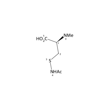 CN[C@@H](CSNC(C)=O)C(=O)O